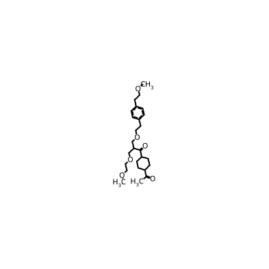 COCCOCC(COCCc1ccc(CCOC)cc1)C(=O)C1CCC(C(C)=O)CC1